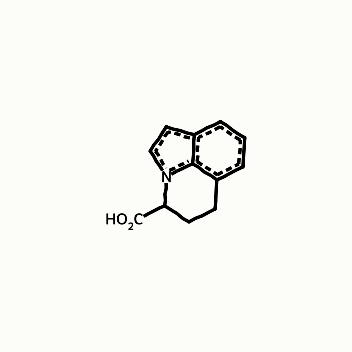 O=C(O)C1CCc2cccc3ccn1c23